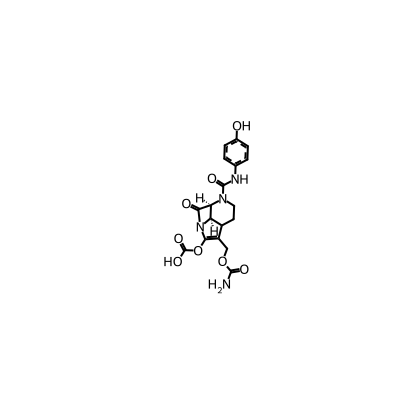 NC(=O)OCC1=C(OC(=O)O)N2C(=O)[C@@H]3[C@H]2C1CCN3C(=O)Nc1ccc(O)cc1